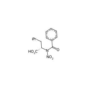 CC(C)C[C@@H](C(=O)O)N(C(=O)c1ccccc1)[N+](=O)[O-]